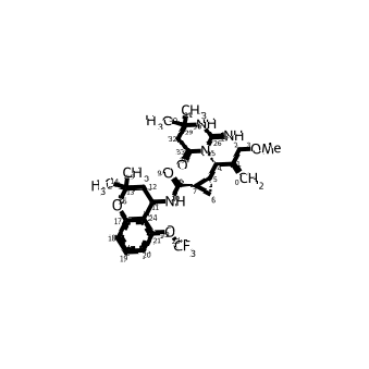 C=C(COC)[C@H]([C@@H]1C[C@H]1C(=O)NC1CC(C)(C)Oc2cccc(OC(F)(F)F)c21)N1C(=N)NC(C)(C)CC1=O